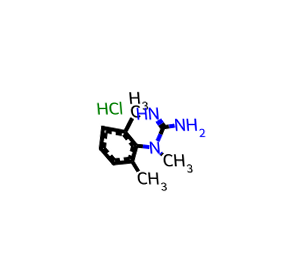 Cc1cccc(C)c1N(C)C(=N)N.Cl